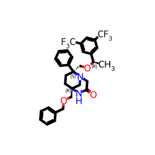 C[C@@H](OC[C@@]1(c2ccccc2)CC[C@]2(COCc3ccccc3)CN1CC(=O)N2)c1cc(C(F)(F)F)cc(C(F)(F)F)c1